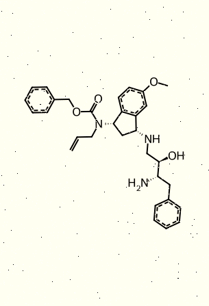 C=CCN(C(=O)OCc1ccccc1)[C@H]1C[C@@H](NC[C@@H](O)[C@@H](N)Cc2ccccc2)c2cc(OC)ccc21